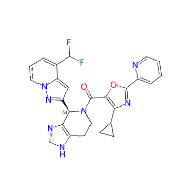 O=C(c1oc(-c2ccccn2)nc1C1CC1)N1CCc2[nH]cnc2[C@H]1c1cc2c(C(F)F)cccn2n1